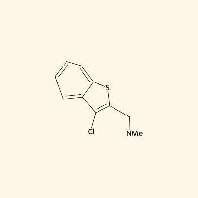 CNCc1sc2ccccc2c1Cl